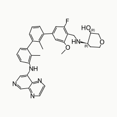 COc1cc(-c2cccc(-c3cccc(Nc4cncc5nccnc45)c3C)c2C)cc(F)c1CN[C@@H]1CCOC[C@@H]1O